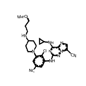 COCCCNC1CCN(c2cc(C#N)cc(Nc3nc(NC4CC4)c4ncc(C#N)n4n3)c2Cl)CC1